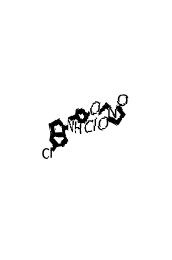 O=C1CCC(=O)N1CCOc1ccc(CNC2CCc3cc(Cl)ccc32)cc1Cl